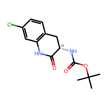 CC(C)(C)OC(=O)N[C@H]1Cc2ccc(Cl)cc2NC1=O